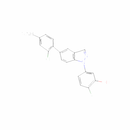 CC(=O)Nc1ccc(-c2ccc3c(cnn3-c3ccc(F)c(O)c3)c2)c(Cl)c1